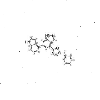 c1ccc(Cc2nnc(-c3cc(-c4cccc5[nH]ccc45)cc4[nH]ncc34)o2)cc1